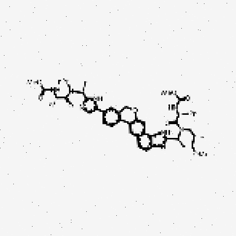 CCCN(C(=O)[C@@H](NC(=O)OC)C(C)C)[C@@H](C)c1ncc(-c2ccc3c(c2)COc2cc4c(ccc5nc([C@H](C)N(C[C@H](C)COC)C(=O)[C@@H](NC(=O)OC)C(C)C)[nH]c54)cc2-3)[nH]1